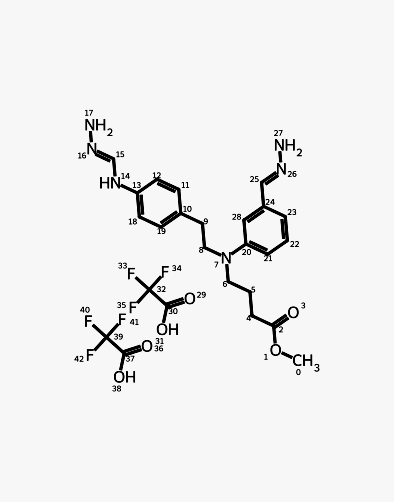 COC(=O)CCCN(CCc1ccc(NC=NN)cc1)c1cccc(C=NN)c1.O=C(O)C(F)(F)F.O=C(O)C(F)(F)F